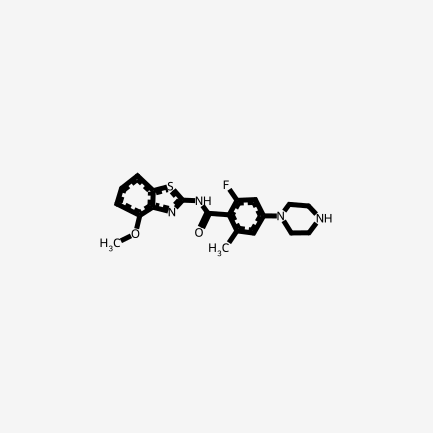 COc1cccc2sc(NC(=O)c3c(C)cc(N4CCNCC4)cc3F)nc12